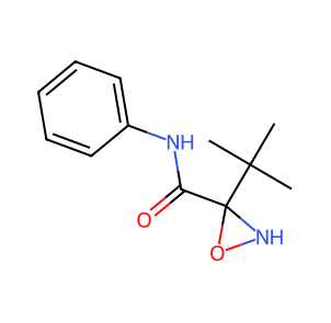 CC(C)(C)C1(C(=O)Nc2ccccc2)NO1